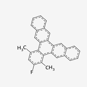 Cc1cc(F)c(C)c2c3cc4ccccc4cc3c3cc4ccccc4cc3c12